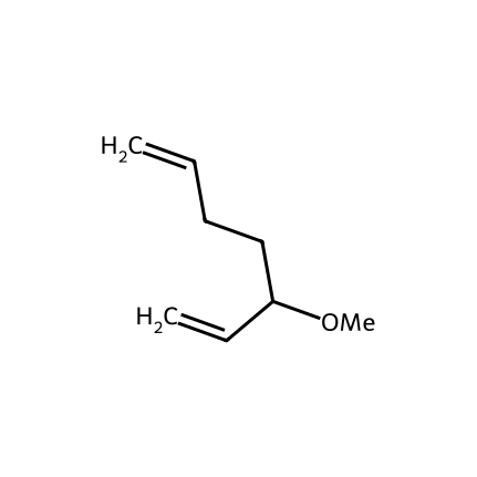 C=CCCC(C=C)OC